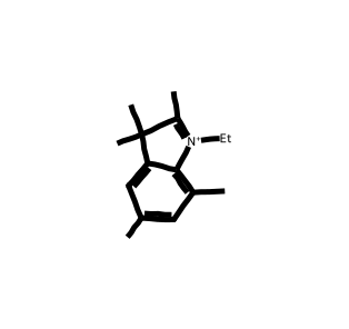 CC[N+]1=C(C)C(C)(C)c2cc(C)cc(C)c21